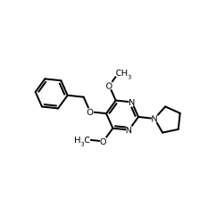 COc1nc(N2CCCC2)nc(OC)c1OCc1ccccc1